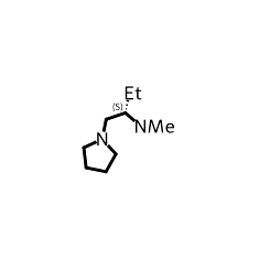 CC[C@@H](CN1CCCC1)NC